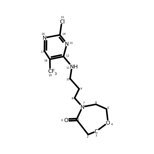 O=C1CCOCCN1CCCNc1nc(Cl)ncc1C(F)(F)F